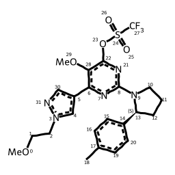 COCCn1cc(-c2nc(N3CCC[C@H]3c3ccc(C)cc3)nc(OS(=O)(=O)C(F)(F)F)c2OC)cn1